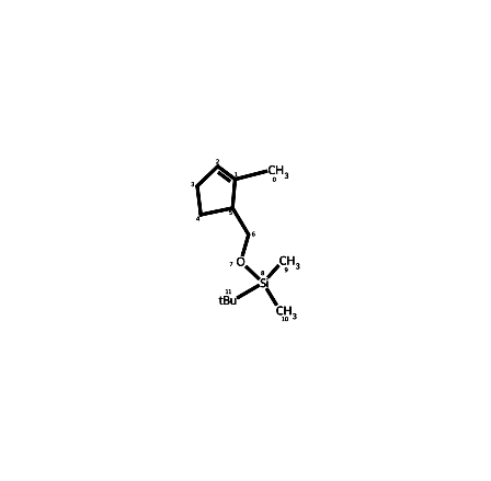 CC1=CCCC1CO[Si](C)(C)C(C)(C)C